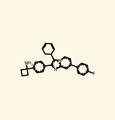 NC1(c2ccc(-c3nc4cc(-c5ccc(F)cc5)ccn4c3C3C=CC=CC3)cc2)CCC1